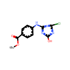 CC(C)(C)OC(=O)c1ccc(Nc2nc(O)nc(Cl)n2)cc1